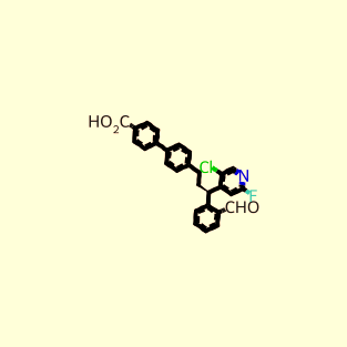 O=Cc1ccccc1[C@@H](CCc1ccc(-c2ccc(C(=O)O)cc2)cc1)c1cc(F)ncc1Cl